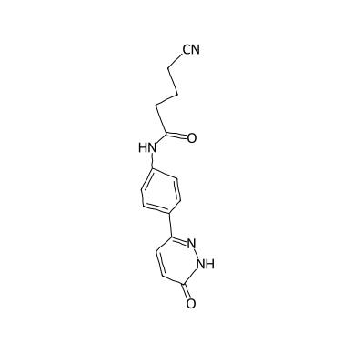 N#CCCCC(=O)Nc1ccc(-c2ccc(=O)[nH]n2)cc1